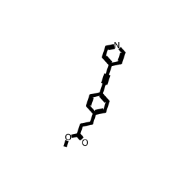 COC(=O)CCc1ccc(C#Cc2ccncc2)cc1